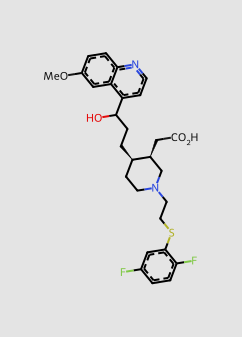 COc1ccc2nccc(C(O)CC[C@@H]3CCN(CCSc4cc(F)ccc4F)C[C@@H]3CC(=O)O)c2c1